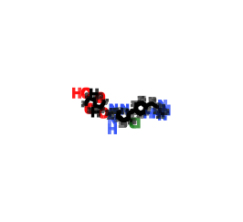 OC1CO[C@H]2[C@@H]1OC[C@H]2Oc1nc2nc(-c3ccc(Cc4nnn[nH]4)cc3)c(Cl)cc2[nH]1